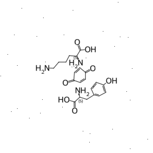 NCCCC[C@H](N)C(=O)O.N[C@@H](Cc1ccc(O)cc1)C(=O)O.O=C1C=CC(=O)C=C1